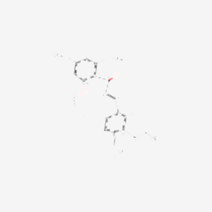 COc1cc(OC)c(C(=O)C=Cc2ccc(OC)c(CCC(C)C)c2)c(OCC(=O)O)c1